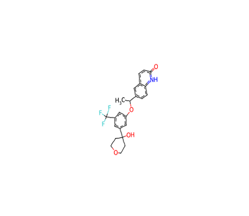 CC(Oc1cc(C(F)(F)F)cc(C2(O)CCOCC2)c1)c1ccc2[nH]c(=O)ccc2c1